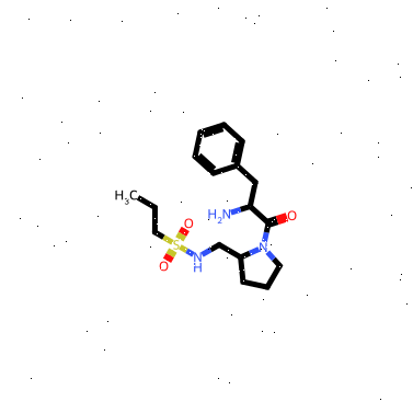 CCCS(=O)(=O)NCC1CCCN1C(=O)C(N)Cc1ccccc1